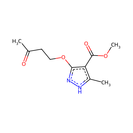 COC(=O)c1c(OCCC(C)=O)n[nH]c1C